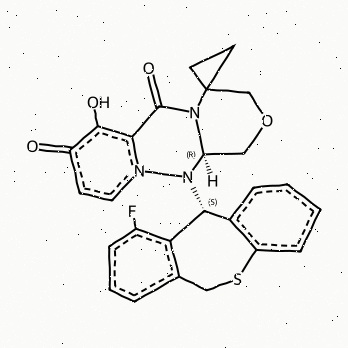 O=C1c2c(O)c(=O)ccn2N([C@@H]2c3ccccc3SCc3cccc(F)c32)[C@@H]2COCC3(CC3)N12